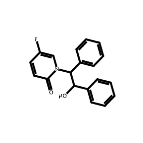 O=c1ccc(F)cn1C(c1ccccc1)C(O)c1ccccc1